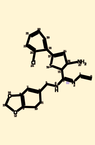 C=C/N=C(/NCC1=CC2=C(CC1)OCO2)C1SC(c2ccccc2Cl)=CC1N